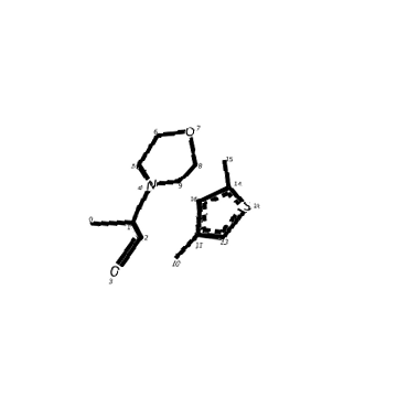 CC(C=O)N1CCOCC1.Cc1csc(C)c1